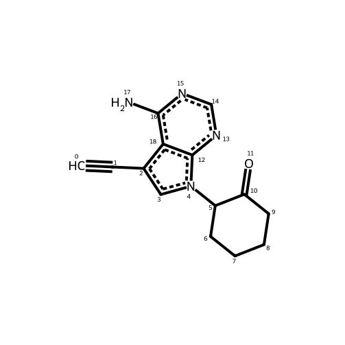 C#Cc1cn(C2CCCCC2=O)c2ncnc(N)c12